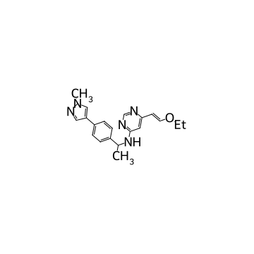 CCO/C=C/c1cc(NC(C)c2ccc(-c3cnn(C)c3)cc2)ncn1